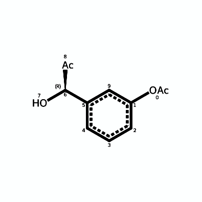 CC(=O)Oc1cccc([C@@H](O)C(C)=O)c1